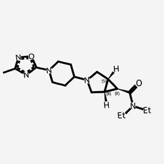 CCN(CC)C(=O)[C@H]1[C@@H]2CN(C3CCN(c4nc(C)no4)CC3)C[C@@H]21